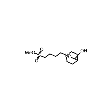 COS(=O)(=O)CCCC[N+]12CCC(CC1)C(O)C2